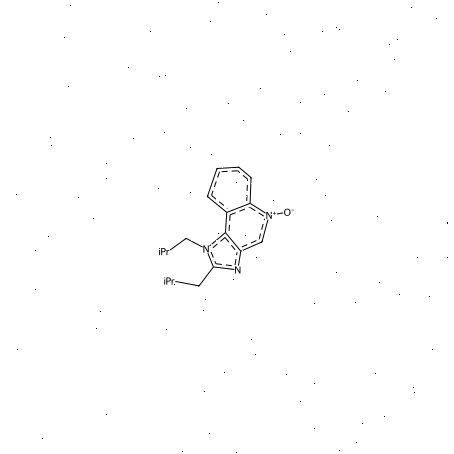 CC(C)Cc1nc2c[n+]([O-])c3ccccc3c2n1CC(C)C